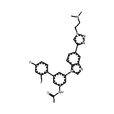 CC(=O)Nc1cc(-c2ccc(F)cc2F)cc(-n2cnc3cc(-c4cn(CCN(C)C)nn4)ccc32)c1